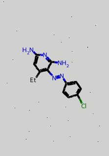 CCc1cc(N)nc(N)c1/N=N/c1ccc(Cl)cc1